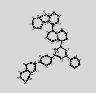 c1ccc(C2=NC(c3cccc4c(-c5cccc6oc7ccccc7c56)cccc34)NC(c3ccc(-c4ccc5ccccc5c4)cc3)=N2)cc1